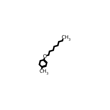 CCCCCCCCOC1=CC=C(C)CC1